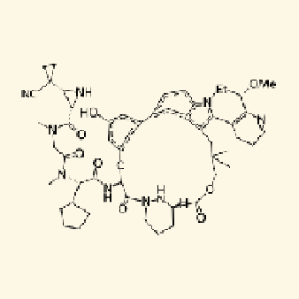 CCn1c(C2=C([C@H](C)OC)N=CCC2)c2c3cc(ccc31)-c1cc(O)cc(c1)C[C@H](NC(=O)[C@H](C1CCCC1)N(C)C(=O)CN(C)C(=O)[C@H]1N[C@H]1C1(C#N)CC1)C(=O)N1CCC[C@H](N1)C(=O)OCC(C)(C)C2